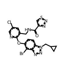 O=C(NCc1cc(Cl)cnc1Oc1ccc2c(nnn2CC2CC2)c1Br)c1csnn1